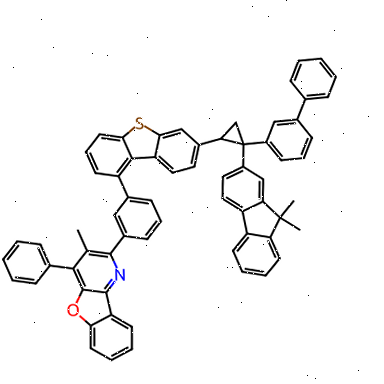 Cc1c(-c2cccc(-c3cccc4sc5cc(C6CC6(c6cccc(-c7ccccc7)c6)c6ccc7c(c6)C(C)(C)c6ccccc6-7)ccc5c34)c2)nc2c(oc3ccccc32)c1-c1ccccc1